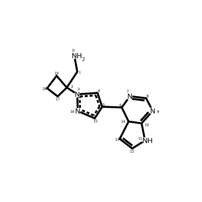 NCC1(n2cc(C3N=CN=C4NC=CC43)cn2)CCC1